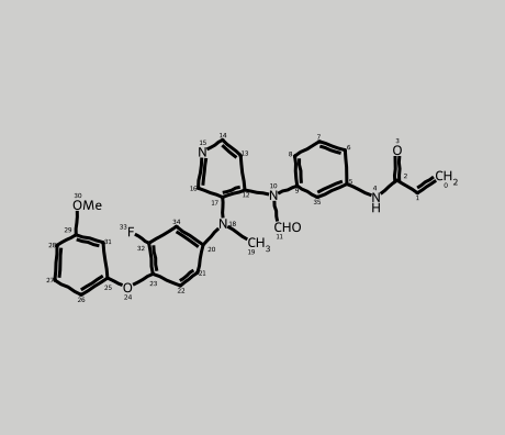 C=CC(=O)Nc1cccc(N(C=O)c2ccncc2N(C)c2ccc(Oc3cccc(OC)c3)c(F)c2)c1